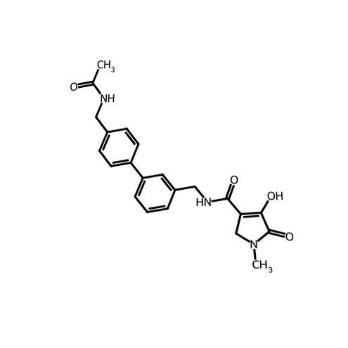 CC(=O)NCc1ccc(-c2cccc(CNC(=O)C3=C(O)C(=O)N(C)C3)c2)cc1